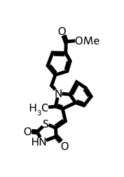 COC(=O)c1ccc(Cn2c(C)c(C=C3SC(=O)NC3=O)c3ccccc32)cc1